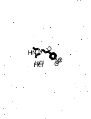 CC1CN(CCC(=O)c2ccc([N+](=O)[O-])cc2)CC(C)N1.Cl.Cl